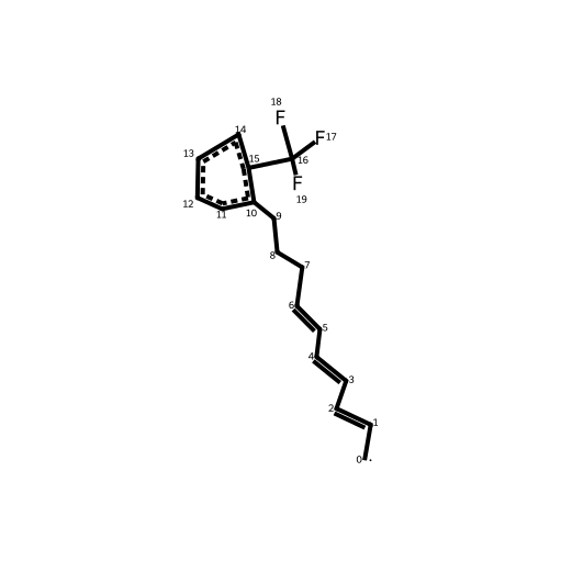 [CH2]/C=C/C=C/C=C/CCCc1ccccc1C(F)(F)F